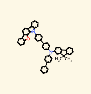 CC1(C)c2ccccc2-c2ccc(N(c3ccc(-c4ccccc4)cc3)c3ccc(-c4ccc(-n5c6ccccc6c6ccc7c8ccccc8oc7c65)cc4)cc3)cc21